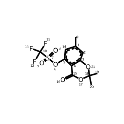 Cc1cc2c(c(OS(=O)(=O)C(F)(F)F)c1)C(=O)OC(C)(C)O2